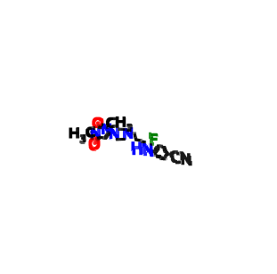 Cn1c(N2CCN(CCCNc3ccc(C#N)cc3F)CC2)cc(=O)n(C)c1=O